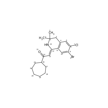 CC1(C)Cc2cc(Cl)c(Br)cc2C(=CC(=O)C2CCCCCC2)N1